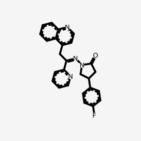 O=C1CC(c2ccc(F)cc2)CN1N=C(Cc1ccnc2ccccc12)c1ccccn1